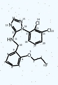 FCCOc1ccccc1CNc1ncnn1-c1cccc(Cl)c1Cl